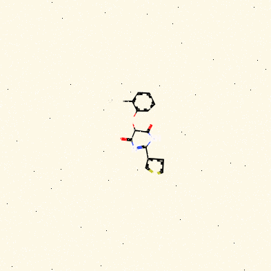 COc1ccccc1OC1C(=O)N=C(c2ccsc2)NC1=O